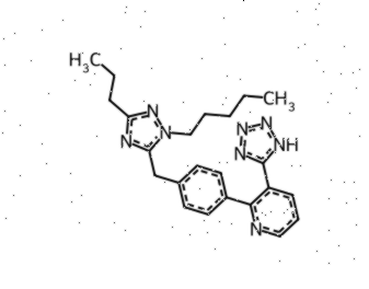 CCCCCn1nc(CCC)nc1Cc1ccc(-c2ncccc2-c2nnn[nH]2)cc1